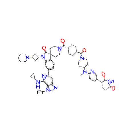 CC(C)n1cnc2cc(-c3ccc4c(c3)N([C@H]3C[C@@H](N5CCCCC5)C3)C(=O)C43CCN(C(=O)[C@H]4CC[C@H](C(=O)N5CCC(N(C)c6ccc(C7CCC(=O)NC7=O)cn6)CC5)CC4)CC3)nc(NC3CC3)c21